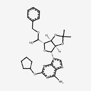 CC1(C)O[C@@H]2[C@H](O1)[C@@H](C(O)OCc1ccccc1)O[C@H]2n1cnc2c(N)nc(OC3CCCC3)nc21